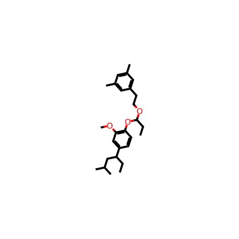 CCC(OCCc1cc(C)cc(C)c1)Oc1ccc(C(CC)CC(C)C)cc1OC